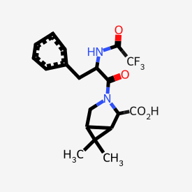 CC1(C)C2CN(C(=O)C(Cc3ccccc3)NC(=O)C(F)(F)F)C(C(=O)O)C21